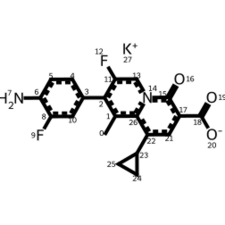 Cc1c(-c2ccc(N)c(F)c2)c(F)cn2c(=O)c(C(=O)[O-])cc(C3CC3)c12.[K+]